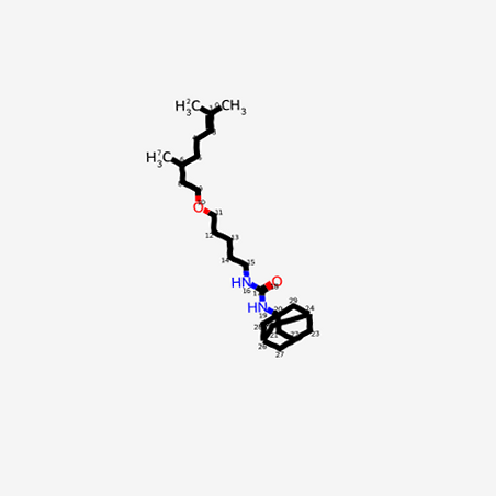 CC(C)=CCCC(C)CCOCCCCCNC(=O)NC12CC3CC(CC(C3)C1)C2